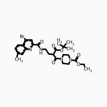 CCOC(=O)N1CCN(C(=O)C(CCNC(=O)c2cc(Br)c3ccc(C)cc3n2)C(=O)OC(C)(C)C)CC1